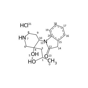 CC(O)CC1(O)CNCCC1N1C(=O)Cc2ccccc21.Cl